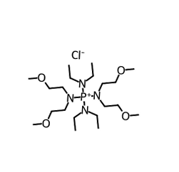 CCN(CC)[P+](N(CC)CC)(N(CCOC)CCOC)N(CCOC)CCOC.[Cl-]